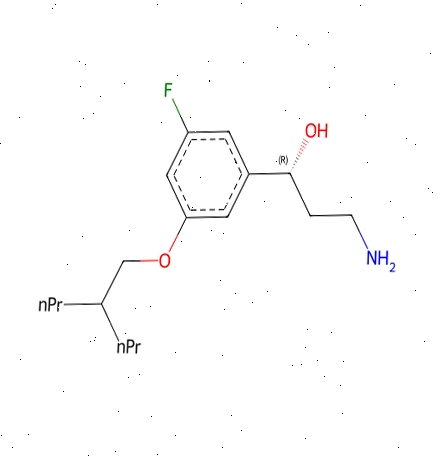 CCCC(CCC)COc1cc(F)cc([C@H](O)CCN)c1